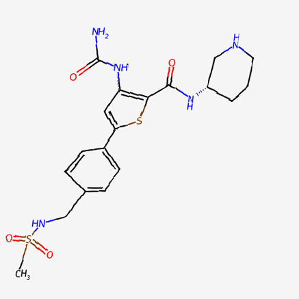 CS(=O)(=O)NCc1ccc(-c2cc(NC(N)=O)c(C(=O)N[C@H]3CCCNC3)s2)cc1